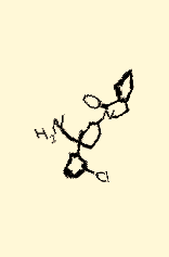 NCC1(c2cccc(Cl)c2)CCC(N2CCc3ccccc3C2=O)CC1